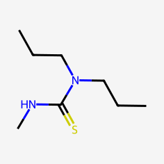 CCCN(CCC)C(=S)NC